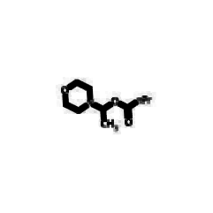 CCCC(=O)OC(C)N1CCOCC1